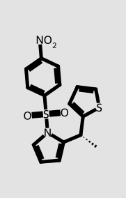 C[C@@H](c1cccs1)c1cccn1S(=O)(=O)c1ccc([N+](=O)[O-])cc1